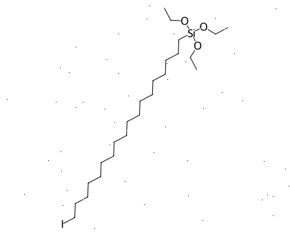 CCO[Si](CCCCCCCCCCCCCCCCCCI)(OCC)OCC